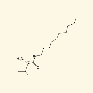 CCCCCCCCCCNC(=O)[C@@H](N)C(C)C